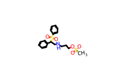 CS(=O)(=O)OCCCNCC(c1ccccc1)S(=O)(=O)c1ccccc1